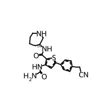 N#CCc1ccc(-c2cc(NC(N)=O)c(C(=O)N[C@H]3CCCCNC3)s2)cc1